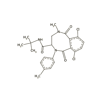 Cc1ccc(N2C(=O)c3c(Cl)ccc(Cl)c3C(=O)N(C)CC2C(=O)NC(C)(C)C)cc1